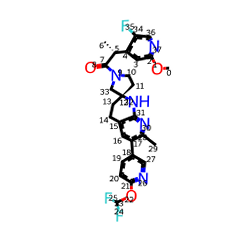 COc1cc([C@@H](C)C(=O)N2CC[C@@]3(CCc4cc(-c5ccc(OC(F)F)nc5)c(C)nc4N3)C2)c(F)cn1